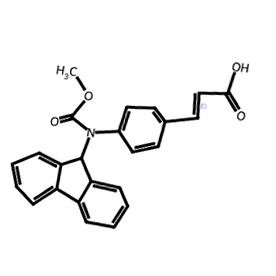 COC(=O)N(c1ccc(/C=C/C(=O)O)cc1)C1c2ccccc2-c2ccccc21